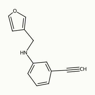 C#Cc1cccc(NCc2ccoc2)c1